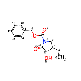 C=CC1CN(C(=O)OCc2ccccc2)C(=O)C1O